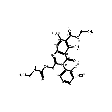 CCNC(=S)OCc1nc2cc(C)c(C(=O)OCC)c(C)c2c(=O)n1-c1ccccc1Cl.Cl